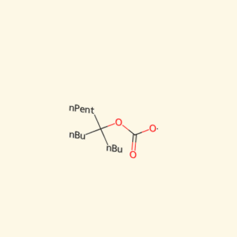 CCCCCC(CCCC)(CCCC)OC([O])=O